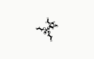 CCCOP(=O)([O-])OCCC.CC[n+]1ccn(C)c1